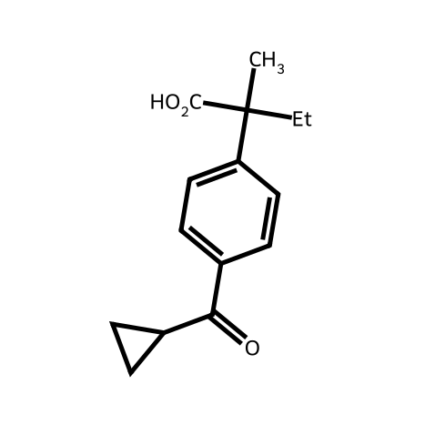 CCC(C)(C(=O)O)c1ccc(C(=O)C2CC2)cc1